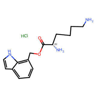 Cl.NCCCC[C@H](N)C(=O)OCc1cccc2cc[nH]c12